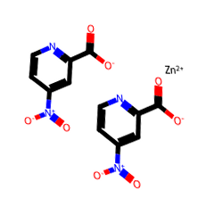 O=C([O-])c1cc([N+](=O)[O-])ccn1.O=C([O-])c1cc([N+](=O)[O-])ccn1.[Zn+2]